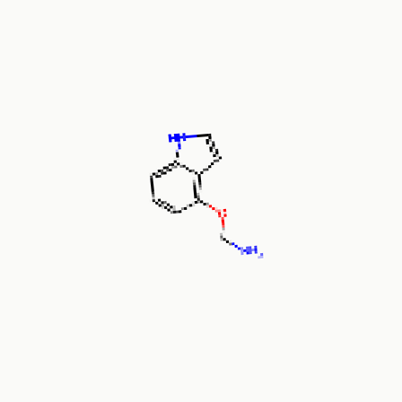 NCOc1cccc2[nH]ccc12